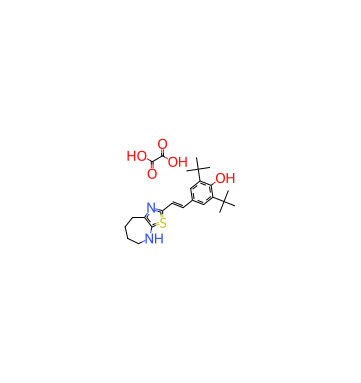 CC(C)(C)c1cc(C=Cc2nc3c(s2)NCCCC3)cc(C(C)(C)C)c1O.O=C(O)C(=O)O